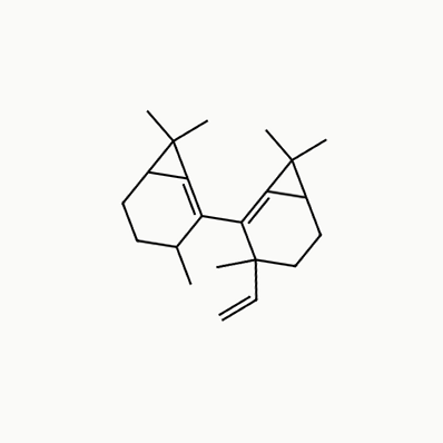 C=CC1(C)CCC2C(=C1C1=C3C(CCC1C)C3(C)C)C2(C)C